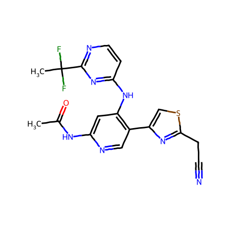 CC(=O)Nc1cc(Nc2ccnc(C(C)(F)F)n2)c(-c2csc(CC#N)n2)cn1